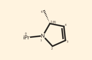 CC(C)N1CC=C[C@H]1C